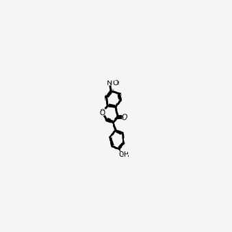 O=Nc1ccc2c(=O)c(-c3ccc(O)cc3)coc2c1